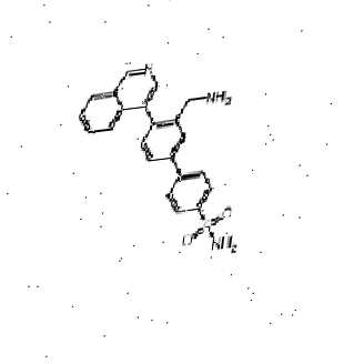 NCc1cc(-c2ccc(S(N)(=O)=O)cc2)ccc1-c1cncc2ccccc12